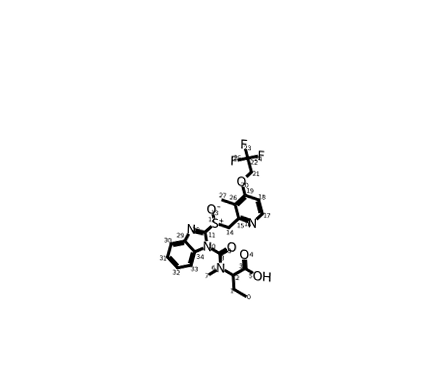 CCC(C(=O)O)N(C)C(=O)n1c([S+]([O-])Cc2nccc(OCC(F)(F)F)c2C)nc2ccccc21